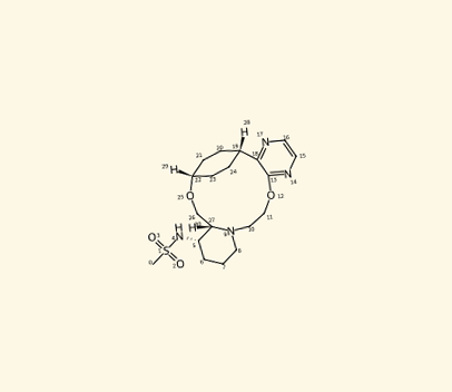 CS(=O)(=O)N[C@H]1CCCN2CCOc3nccnc3[C@H]3CC[C@H](CC3)OC[C@@H]12